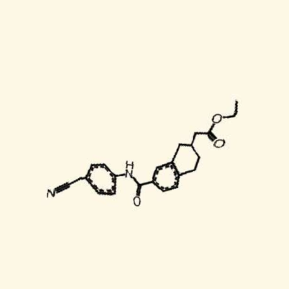 CCOC(=O)CC1CCc2ccc(C(=O)Nc3ccc(C#N)cc3)cc2C1